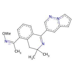 CO/N=C(/C)c1cccc2c1CC(C)(C)N=C2c1cnn2cccc2c1